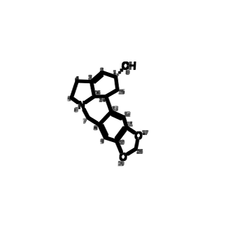 O[C@H]1C=C2CCN3Cc4cc5c(cc4C(C1)C23)OCO5